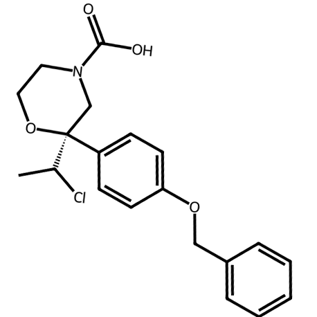 CC(Cl)[C@@]1(c2ccc(OCc3ccccc3)cc2)CN(C(=O)O)CCO1